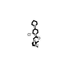 Cc1n(CC(=O)N2CCC(N3CCCCC3)CC2)cc[n+]1C.[Cl-]